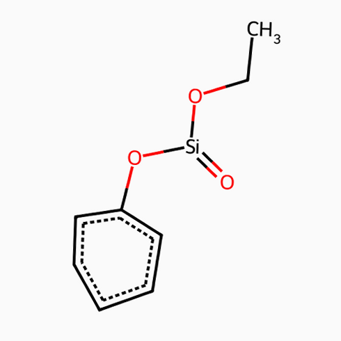 CCO[Si](=O)Oc1ccccc1